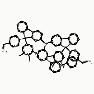 C=Cc1ccc(C2(c3cc(F)c(F)c(F)c3)c3ccccc3-c3ccc(N(c4cccc(-c5cccc(-c6ccccc6)c5)c4)c4ccc5c(c4)C(c4ccc(C=C)cc4)(c4cc(F)c(F)c(F)c4)c4ccccc4-5)cc32)cc1